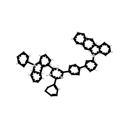 C1=CCCC(c2nc(-c3ccc(-c4cccc(-n5c6ccccc6c6cc7ccccc7cc65)c4)cc3)nc(-c3cccc4c3c3ccccc3n4-c3ccccc3)n2)=C1